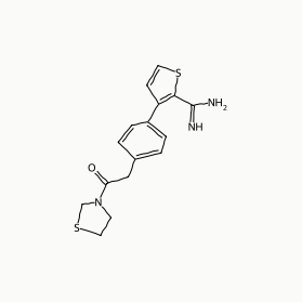 N=C(N)c1sccc1-c1ccc(CC(=O)N2CCSC2)cc1